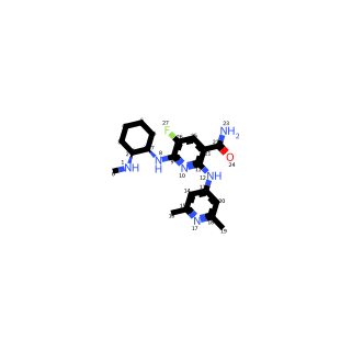 CN[C@H]1CCCC[C@H]1Nc1nc(Nc2cc(C)nc(C)c2)c(C(N)=O)cc1F